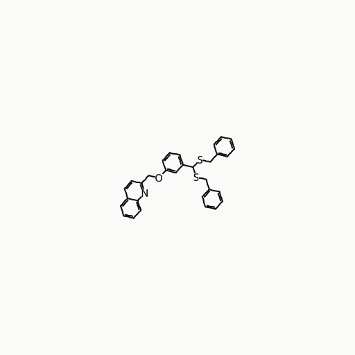 c1ccc(CSC(SCc2ccccc2)c2cccc(OCc3ccc4ccccc4n3)c2)cc1